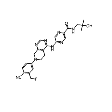 CC(C)(O)CNC(=O)c1cnc(Nc2ncnc3c2CCN(c2ccc(C#N)c(CF)c2)C3)cn1